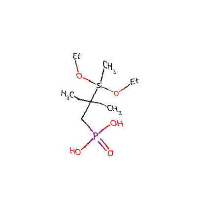 CCO[Si](C)(OCC)C(C)(C)CP(=O)(O)O